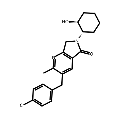 Cc1nc2c(cc1Cc1ccc(Cl)cc1)C(=O)N([C@H]1CCCC[C@@H]1O)C2